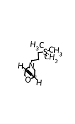 CS(C)(C)CCCN1C[C@H]2C#C[C@@H]1CO2